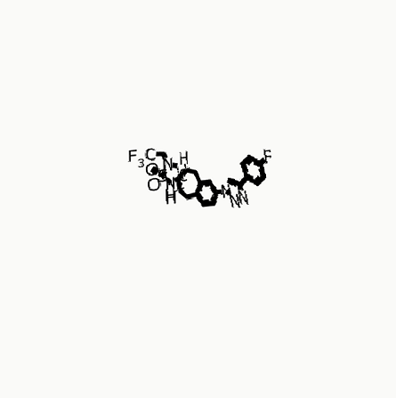 O=S1(=O)N[C@@]2(CN1CC(F)(F)F)[C@@H]1CC[C@H]2Cc2ccc(-n3cc(-c4ccc(F)cc4)nn3)cc2C1